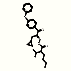 CCCCC(C(=O)O/N=C(\CC1CC1)C(=O)c1ccc(Sc2ccccc2)cc1)C(C)C